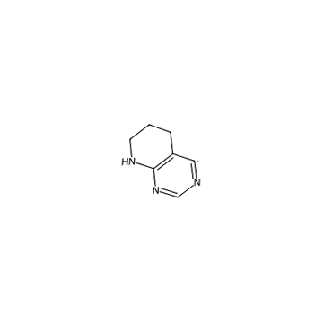 [c]1ncnc2c1CCCN2